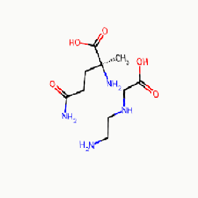 C[C@](N)(CCC(N)=O)C(=O)O.NCCNCC(=O)O